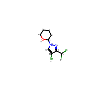 FC(F)c1nn(C2CCCCO2)cc1Br